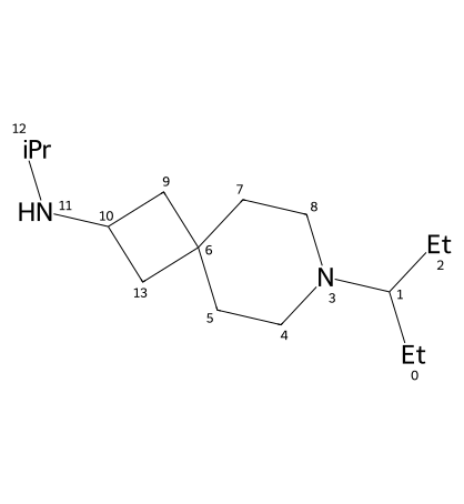 CCC(CC)N1CCC2(CC1)CC(NC(C)C)C2